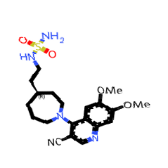 COc1cc2ncc(C#N)c(N3CCC[C@@H](CCNS(N)(=O)=O)CC3)c2cc1OC